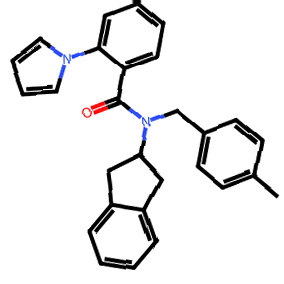 Cc1ccc(CN(C(=O)c2ccccc2-n2cccc2)C2Cc3ccccc3C2)cc1